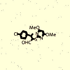 COc1cc(OC)nc(SC(C=O)C(C)c2ccc(Cl)cc2)n1